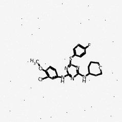 COc1ccc(Nc2nc(NC3CCCCCC3)nc(Sc3ccc(F)cc3)n2)cc1Cl